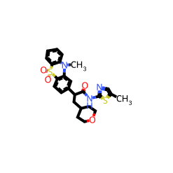 Cc1cnc(NC(=O)C(CC2CCOCC2)c2ccc3c(c2)N(C)c2ccccc2S3(=O)=O)s1